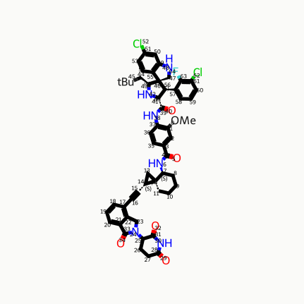 COc1cc(C(=O)N[C@H]2CCCC[C@]23C[C@H]3C#Cc2cccc3c2CN(C2CCC(=O)NC2=O)C3=O)ccc1NC(=O)[C@@H]1N[C@@H](CC(C)(C)C)[C@@]2(CNc3cc(Cl)ccc32)[C@H]1c1cccc(Cl)c1F